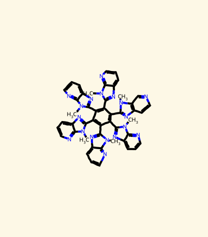 Cn1c(-c2c(-c3nc4cccnc4n3C)c(-c3nc4cccnc4n3C)c(-c3nc4cccnc4n3C)c(-c3nc4cccnc4n3C)c2-c2nc3cccnc3n2C)nc2ccncc21